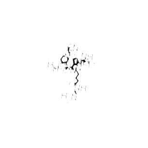 C[C@@H]1CCN(C(=O)CC#N)C[C@@H]1N(C)c1nc(CCCC(=O)NCCN)nc2c1ccn2C(N)=O.Cl